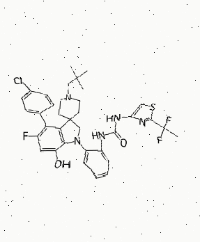 CC(C)(C)CN1CCC2(CC1)CN(c1ccccc1NC(=O)Nc1csc(C(C)(F)F)n1)c1c(O)cc(F)c(-c3ccc(Cl)cc3)c12